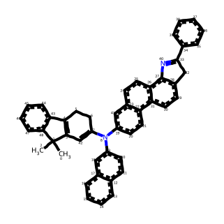 CC1(C)C2=C(CCC(N(c3ccc4ccccc4c3)c3ccc4c(ccc5c6c(ccc54)CC(c4ccccc4)=N6)c3)=C2)c2ccccc21